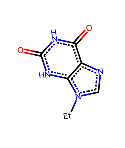 CCn1cnc2c(=O)[nH]c(=O)[nH]c21